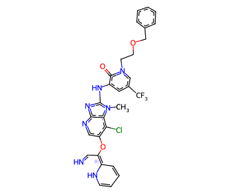 Cn1c(Nc2cc(C(F)(F)F)cn(CCOCc3ccccc3)c2=O)nc2ncc(O/C(C=N)=C3\C=CC=CN3)c(Cl)c21